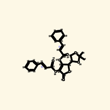 CC1(C)OCC(C2OC(=O)C(OC(=O)/C=C/c3ccccc3)=C2OC(=O)/C=C/c2ccccc2)O1